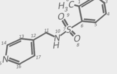 Cc1ccccc1S(=O)(=O)NCc1ccncc1